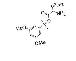 CCCCCC(N)C(=O)OC(C)(C)c1cc(OC)cc(OC)c1